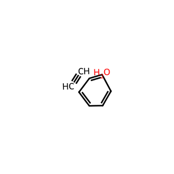 C#C.O.c1ccccc1